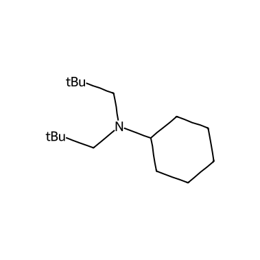 CC(C)(C)CN(CC(C)(C)C)C1CCCCC1